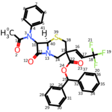 CC(=O)N(c1ccccc1)C1C(=O)N2CC(C=CC(F)(F)F)(C(=O)OC(c3ccccc3)c3ccccc3)CS[C@H]12